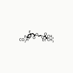 CCC(C)(C)C(=O)OCCOC(=O)CC(F)(F)CC(F)(F)C(=O)O